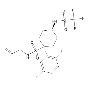 C=CCNS(=O)(=O)[C@]1(c2cc(F)ccc2F)CC[C@H](NS(=O)(=O)C(F)(F)F)CC1